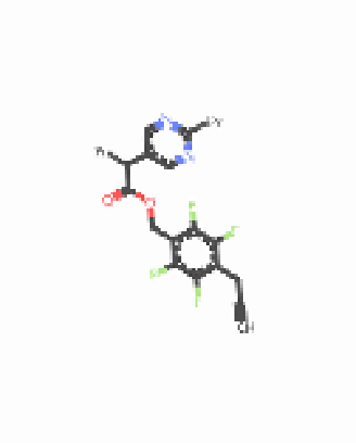 C#CCc1c(F)c(F)c(COC(=O)C(c2cnc(C(C)C)nc2)C(C)C)c(F)c1F